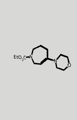 CCOC(=O)N1CC=C(N2CCOCC2)CCC1